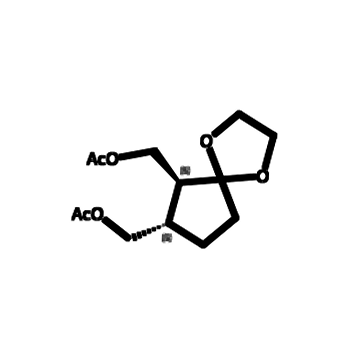 CC(=O)OC[C@H]1CCC2(OCCO2)[C@@H]1COC(C)=O